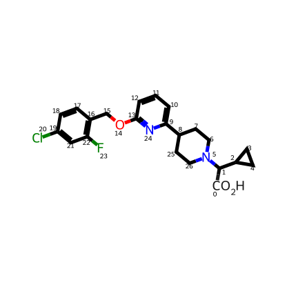 O=C(O)C(C1CC1)N1CCC(c2cccc(OCc3ccc(Cl)cc3F)n2)CC1